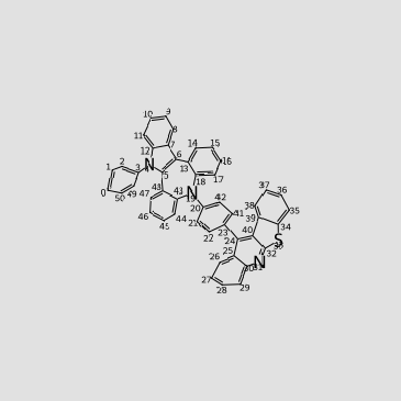 c1ccc(-n2c3c(c4ccccc42)-c2ccccc2N(c2ccc(-c4c5ccccc5nc5sc6ccccc6c45)cc2)c2ccccc2-3)cc1